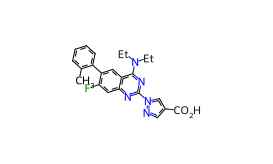 CCN(CC)c1nc(-n2cc(C(=O)O)cn2)nc2cc(F)c(-c3ccccc3C)cc12